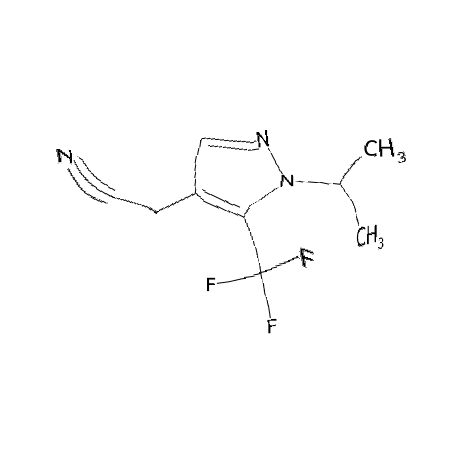 CC(C)n1ncc(CC#N)c1C(F)(F)F